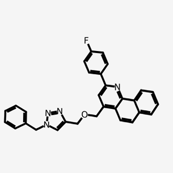 Fc1ccc(-c2cc(COCc3cn(Cc4ccccc4)nn3)c3ccc4ccccc4c3n2)cc1